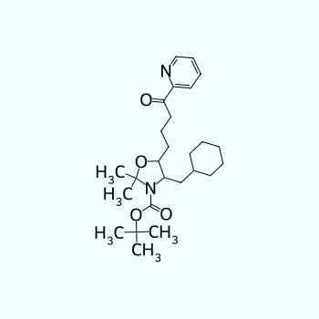 CC(C)(C)OC(=O)N1C(CC2CCCCC2)C(CCCC(=O)c2ccccn2)OC1(C)C